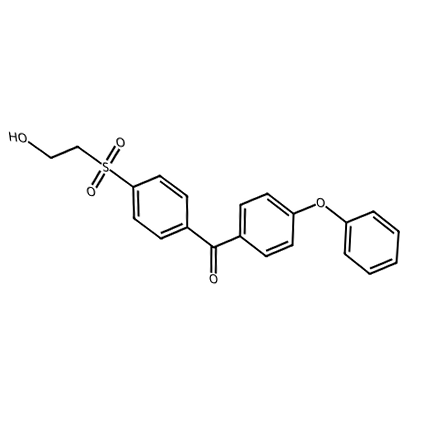 O=C(c1ccc(Oc2ccccc2)cc1)c1ccc(S(=O)(=O)CCO)cc1